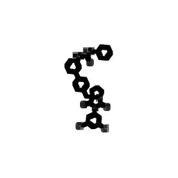 O=C(Nc1ccccc1)Nc1cccc(-c2ccc(CC34CCCN3C(=O)N(c3cc(Cl)cc(Cl)c3)C4=O)cc2)c1